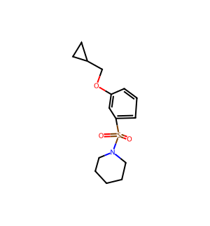 O=S(=O)(c1cccc(OCC2CC2)c1)N1CCCCC1